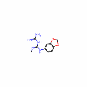 C/N=C(/NC(=N)N)Nc1ccc2c(c1)OCO2